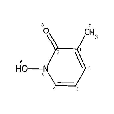 Cc1cccn(O)c1=O